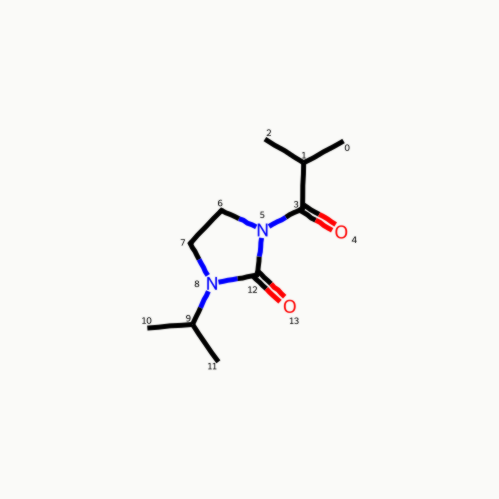 CC(C)C(=O)N1CCN(C(C)C)C1=O